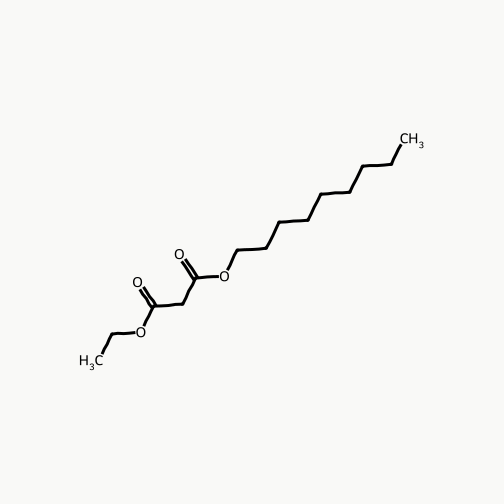 CCCCCCCCCOC(=O)CC(=O)OCC